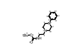 CC(C)(C)OC(=O)NCCN1CCN(c2ccccc2)CC1